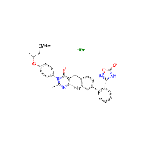 Br.CCCc1nc(C)n(-c2ccc(OC(C)COC)cc2)c(=O)c1Cc1ccc(-c2ccccc2-c2noc(=O)[nH]2)cc1